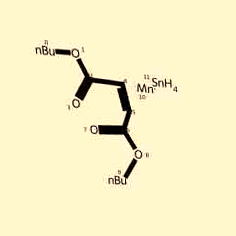 CCCCOC(=O)/C=C\C(=O)OCCCC.[Mn].[SnH4]